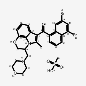 CS(=O)(=O)O.Cc1c(C(=O)c2cccc3c(Br)cc(Br)cc23)c2cccc3c2n1C(CN1CCOCC1)CO3